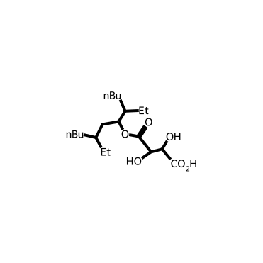 CCCCC(CC)CC(OC(=O)C(O)C(O)C(=O)O)C(CC)CCCC